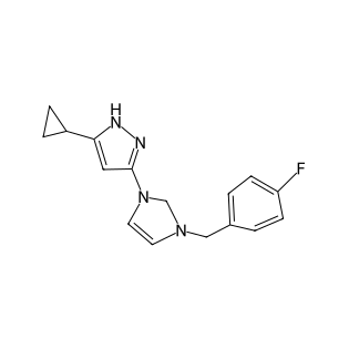 Fc1ccc(CN2C=CN(c3cc(C4CC4)[nH]n3)C2)cc1